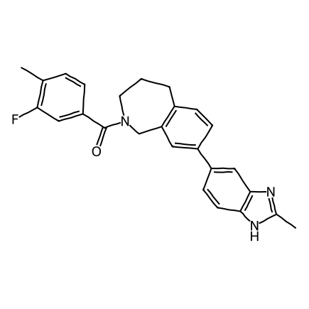 Cc1nc2cc(-c3ccc4c(c3)CN(C(=O)c3ccc(C)c(F)c3)CCC4)ccc2[nH]1